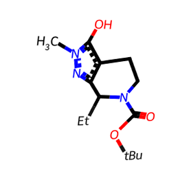 CCC1c2nn(C)c(O)c2CCN1C(=O)OC(C)(C)C